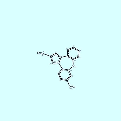 CCOC(=O)c1cc2c(s1)-c1ccc(OC)cc1Oc1ccccc1-2